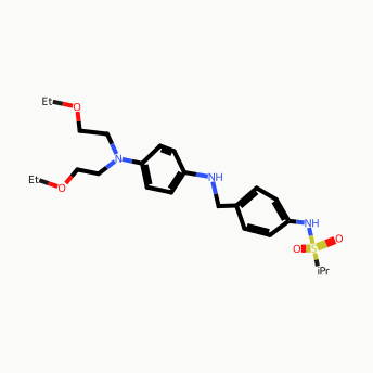 CCOCCN(CCOCC)c1ccc(NCc2ccc(NS(=O)(=O)C(C)C)cc2)cc1